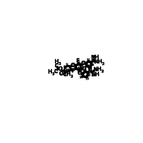 CC(C)OC(=O)[N+]1(C)CCC(Oc2c(F)c(Oc3cccc(NC(=N)N)c3)nc(Oc3cc(C(=N)N)ccc3O)c2F)CC1